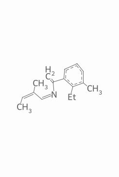 C=C(/N=C\C(C)=C/C)c1cccc(C)c1CC